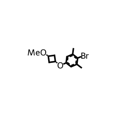 CO[C@H]1C[C@@H](Oc2cc(C)c(Br)c(C)c2)C1